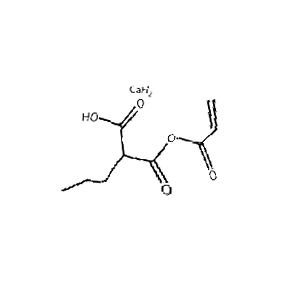 C=CC(=O)OC(=O)C(CCC)C(=O)O.[CaH2]